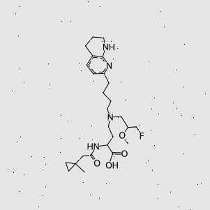 COC(CF)CN(CCCCc1ccc2c(n1)NCCC2)CCC(NC(=O)CC1(C)CC1)C(=O)O